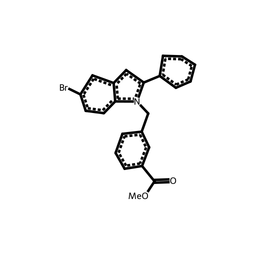 COC(=O)c1cccc(Cn2c(-c3ccccc3)cc3cc(Br)ccc32)c1